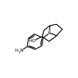 Nc1ccc(N2C3CCC2CC(O)C3)cc1